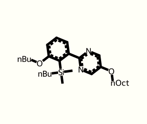 CCCCCCCCOc1cnc(-c2cccc(OCCCC)c2[Si](C)(C)CCCC)nc1